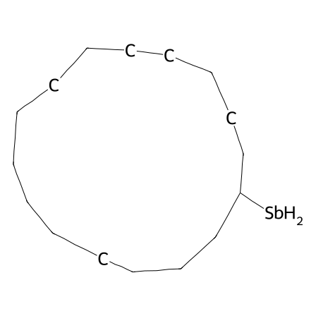 [SbH2][CH]1CCCCCCCCCCCCCCC1